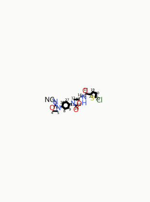 N#C/N=C1\OCCN1c1ccc(N2C[C@H](CNC(=O)c3ccc(Cl)s3)OC2=O)cc1